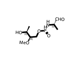 CO[C@H](CO[PH](=O)N[C@@H](C)C=O)[C@H](C)O